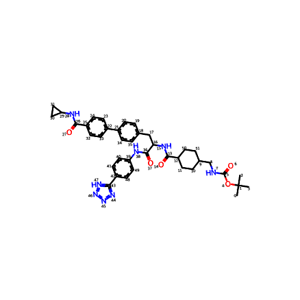 CC(C)(C)OC(=O)NCC1CCC(C(=O)NC(Cc2ccc(-c3ccc(C(=O)NC4CC4)cc3)cc2)C(=O)Nc2ccc(-c3nnn[nH]3)cc2)CC1